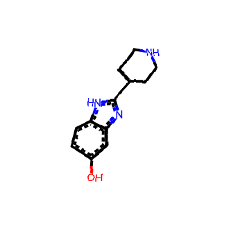 Oc1ccc2[nH]c(C3CCNCC3)nc2c1